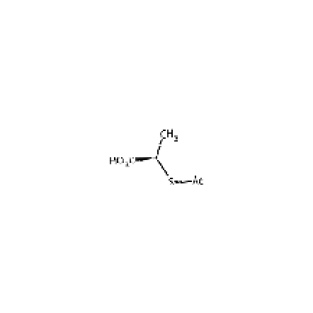 CC(=O)S[C@H](C)C(=O)O